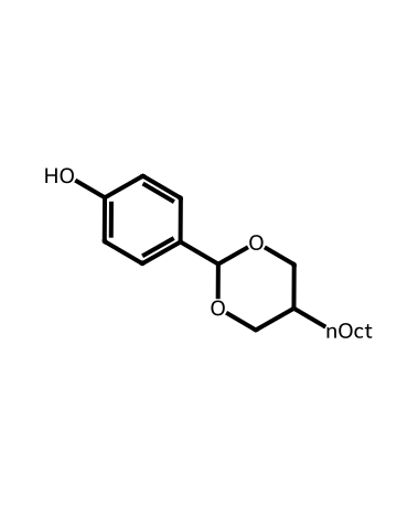 CCCCCCCCC1COC(c2ccc(O)cc2)OC1